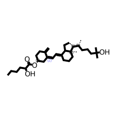 C=C1CC[C@H](OC(=O)C(O)CCCC)C/C1=C/C=C1CCC[C@@]2(C)C1CC[C@@H]2[C@H](C)CCCC(C)(C)O